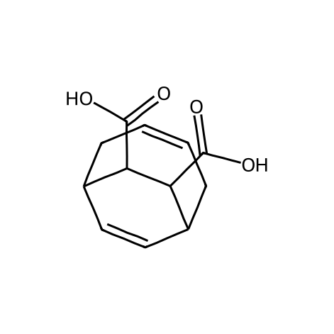 O=C(O)C1C2C=CC(CC=CC2)C1C(=O)O